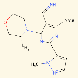 CNc1nc(-c2ccnn2C)nc(N2CCOC[C@H]2C)c1C=N